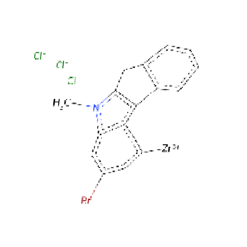 Cn1c2c(c3[c]([Zr+3])cc(Br)cc31)-c1ccccc1C2.[Cl-].[Cl-].[Cl-]